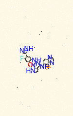 CN/C=C(\C=N)c1cc(Nc2nc(Nc3ccc4nccnc4c3P(C)C)c3cc[nH]c3n2)c(OC)cc1F